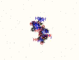 CNC(=N)NCCC[C@H](NC(=O)[C@H](CC(C)C)NC(=O)CNC(=O)[C@H](Cc1ccncc1)NC(=O)[C@@H](NC(=O)[C@H](CC(N)=O)NC(=O)[C@@H]1C[C@@H](O)CN1C(=O)[C@@H](Cc1ccc(O)cc1)NC(C)=O)[C@@H](C)O)C(=O)N[C@@H](Cc1c[nH]c2ccccc12)C(N)=O